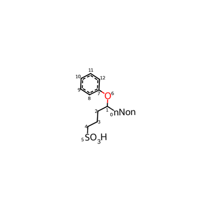 CCCCCCCCCC(CCCS(=O)(=O)O)Oc1ccccc1